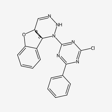 Clc1nc(-c2ccccc2)nc(N2NN=CC34C=CC=CC23c2ccccc2O4)n1